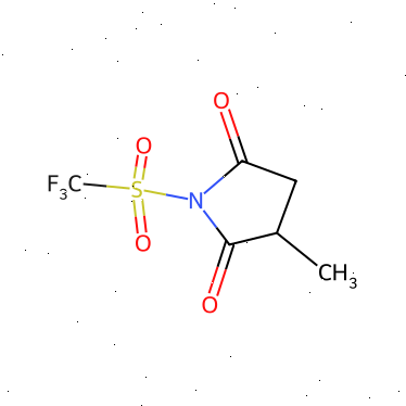 CC1CC(=O)N(S(=O)(=O)C(F)(F)F)C1=O